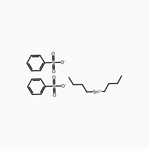 CCC[CH2][Sn+2][CH2]CCC.O=S(=O)([O-])c1ccccc1.O=S(=O)([O-])c1ccccc1